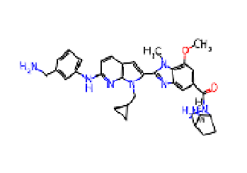 COc1cc(C(=O)N2CC3CCC2[C@@H]3N)cc2nc(-c3cc4ccc(Nc5cccc(CN)c5)nc4n3CC3CC3)n(C)c12